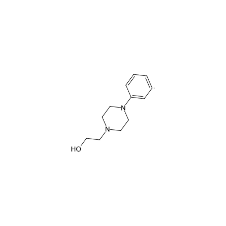 OCCN1CCN(c2c[c]ccc2)CC1